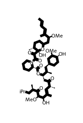 C/C=C/C=C(\C)[C@H](CC1CC[C@@H](C)[C@](O)(C(=O)C(=O)N2CCCC[C@H]2C(=O)O[C@@H](CC(=O)[C@H](C)/C=C(\C)[C@@H](O)[C@@H](OC)C(=O)[C@H](C)CC(C)C)[C@H](C)C[C@@H]2CC[C@@H](O)[C@H](OC)C2)O1)OC